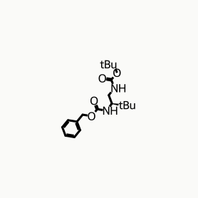 CC(C)(C)OC(=O)NC[C@H](NC(=O)OCc1ccccc1)C(C)(C)C